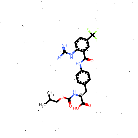 CC(C)COC(=O)N[C@@H](Cc1ccc(NC(=O)c2cc(C(F)(F)F)ccc2NC(=N)N)cc1)C(=O)O